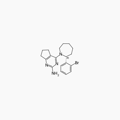 Nc1nc2c(c(N3CCCCC[C@@H]3c3ccccc3Br)n1)CCC2